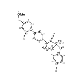 COCc1ccc(-c2ccc(N(C)C(=O)C(C)(C)Oc3ccc(F)cc3)cc2)c(F)c1